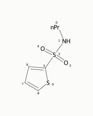 CCCNS(=O)(=O)c1cccs1